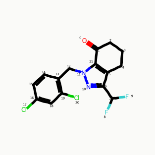 O=C1CCCc2c(C(F)F)nn(Cc3ccc(Cl)cc3Cl)c21